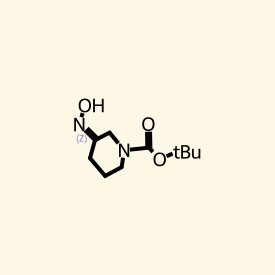 CC(C)(C)OC(=O)N1CCC/C(=N/O)C1